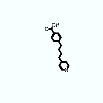 O=C(O)c1ccc(CCCCc2ccncc2)cc1